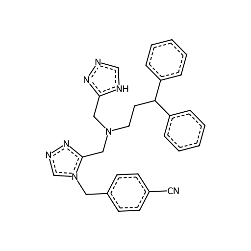 N#Cc1ccc(Cn2cnnc2CN(CCC(c2ccccc2)c2ccccc2)Cc2nnc[nH]2)cc1